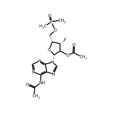 CC(=O)Nc1ncnc2c1ncn2[C@@H]1O[C@H](COP(C)(C)=O)[C@H](F)C1OC(C)=O